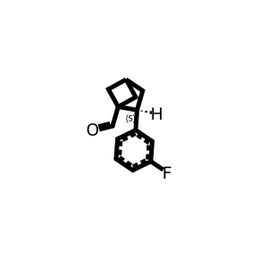 O=CC12CC(C[C@H]1c1cccc(F)c1)C2